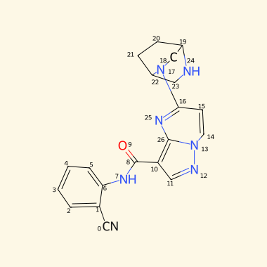 N#Cc1ccccc1NC(=O)c1cnn2ccc(N3CC4CCC3CN4)nc12